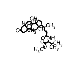 COC(=O)[C@@H](NC(=O)CC[C@@H](C)[C@H]1CC[C@H]2[C@@H]3[C@H](O)C[C@@H]4CC(=O)CC[C@]4(C)[C@H]3CC[C@]12C)C(C)C